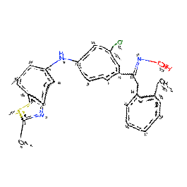 Cc1nc2cc(Nc3ccc(C(=NO)c4ccccc4C)c(Cl)c3)ccc2s1